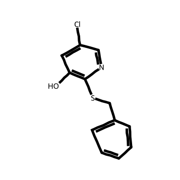 Oc1cc(Cl)cnc1SCc1ccccc1